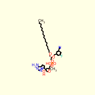 CCCCCCCCCCCCCCCCCCOC[C@@H](COP(=O)(O)OC[C@]1(C)C[C@@](O)(c2ccc3c(N)ncnn23)CO1)OCc1cc(F)cc(C#N)c1